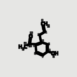 C=CCc1cc(O)ccc1C(C)=O